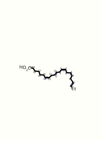 CC/C=C/C/C=C\C/C=C\C/C=C/C/C=C\CCCCCC(=O)O